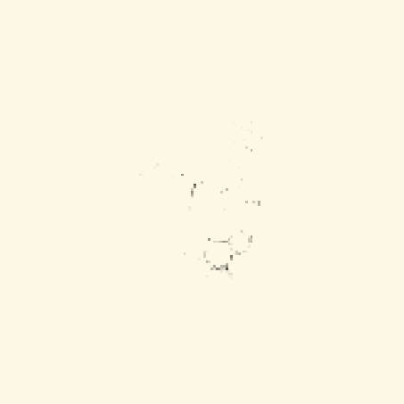 C=C1C(CO[Si](C)(C)C(C)(C)C)C(OC(=O)CCCC)CC1n1cnc2c(=O)[nH]c(N)nc21